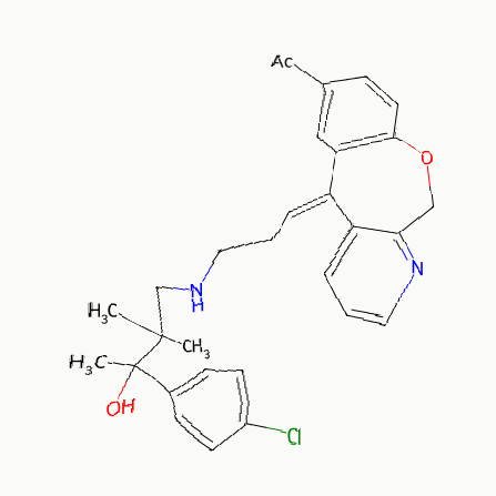 CC(=O)c1ccc2c(c1)/C(=C/CCNCC(C)(C)C(C)(O)c1ccc(Cl)cc1)c1cccnc1CO2